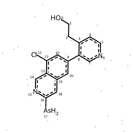 OCCc1ccncc1-c1cc(Cl)c2cnc([AsH2])cc2c1